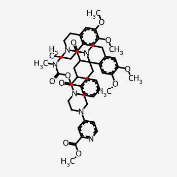 CCN1CCc2cc(OC)c(OC)cc2C1C1CC(C(=O)N2CCN(c3ccnc(C(=O)OC)c3)CC2)CCC12c1cc(OC)c(OC)cc1CCN2C(=O)CCN(C)C(=O)OCc1ccccc1